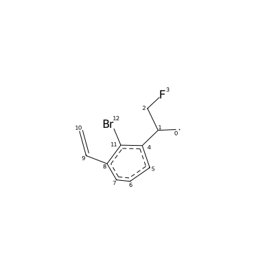 [CH2]C(CF)c1cccc(C=C)c1Br